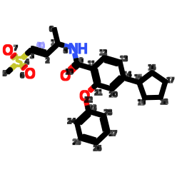 CC(/C=C/S(C)(=O)=O)NC(=O)c1ccc(C2CCCC2)cc1Oc1ccccc1